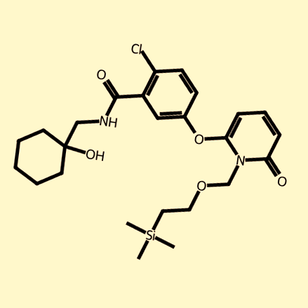 C[Si](C)(C)CCOCn1c(Oc2ccc(Cl)c(C(=O)NCC3(O)CCCCC3)c2)cccc1=O